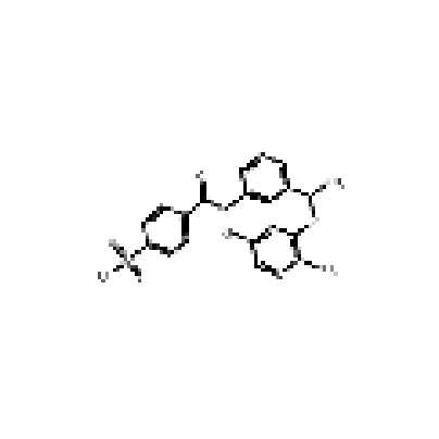 CC(Oc1cc(Cl)cnc1N)c1cccc(NC(=O)c2ccc(S(C)(=O)=O)cc2)c1